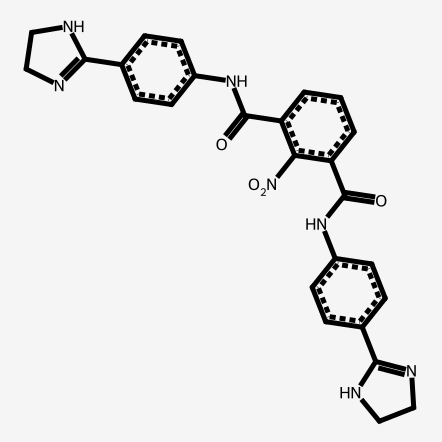 O=C(Nc1ccc(C2=NCCN2)cc1)c1cccc(C(=O)Nc2ccc(C3=NCCN3)cc2)c1[N+](=O)[O-]